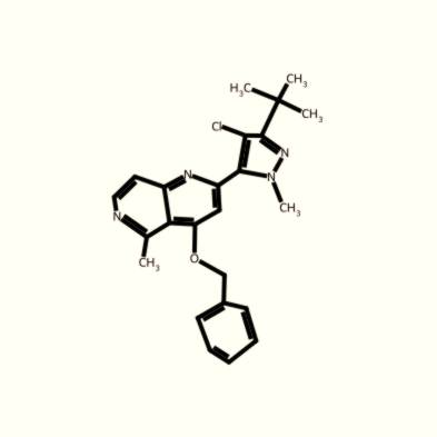 Cc1nccc2nc(-c3c(Cl)c(C(C)(C)C)nn3C)cc(OCc3ccccc3)c12